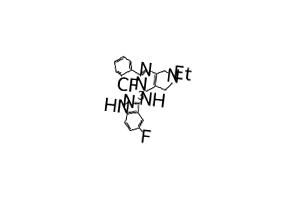 CCN1CCc2c(nc(-c3ccccc3C(F)(F)F)nc2Nc2n[nH]c3ccc(F)cc23)C1